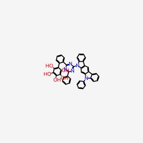 Oc1c(O)c(O)c(-c2ccccc2-c2nc(-c3ccccc3)nc(-n3c4ccccc4c4cc5c6ccccc6n(-c6ccccc6)c5cc43)n2)c(O)c1O